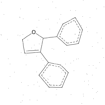 C1=C(c2ccccc2)C(c2ccccc2)OC1